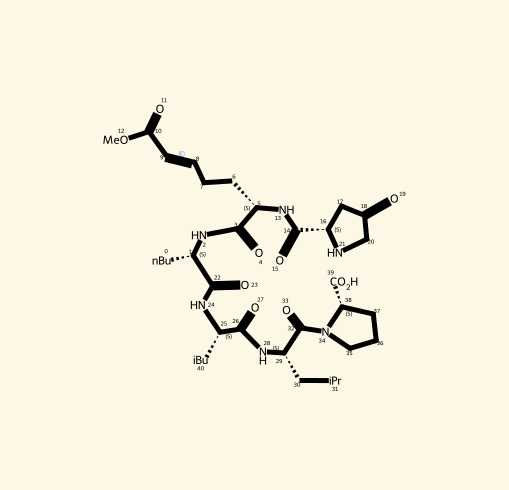 CCCC[C@H](NC(=O)[C@H](CC/C=C/C(=O)OC)NC(=O)[C@@H]1CC(=O)CN1)C(=O)N[C@H](C(=O)N[C@@H](CC(C)C)C(=O)N1CCC[C@H]1C(=O)O)C(C)CC